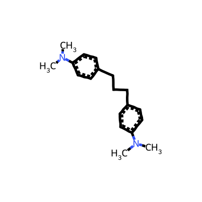 CN(C)c1ccc(CCCc2ccc(N(C)C)cc2)cc1